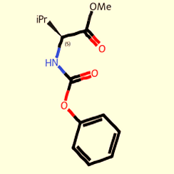 COC(=O)[C@@H](NC(=O)Oc1ccccc1)C(C)C